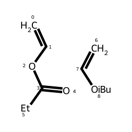 C=COC(=O)CC.C=COCC(C)C